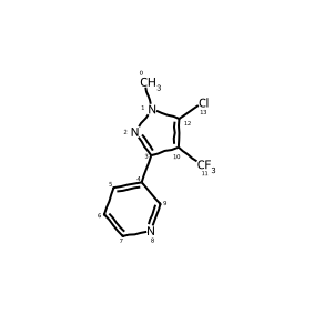 Cn1nc(-c2cccnc2)c(C(F)(F)F)c1Cl